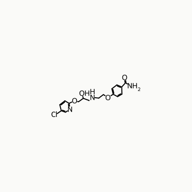 NC(=O)c1ccc(OCCNCC(O)COc2ccc(Cl)cn2)cc1